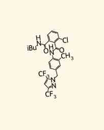 CCC(C)NC(=O)c1cccc(Cl)c1C(=O)Nc1ccc(Cn2nc(C(F)(F)F)cc2C(F)(F)F)cc1C